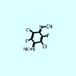 N#CN=C1C(F)=C(Cl)C(=NC#N)C(F)=C1Cl